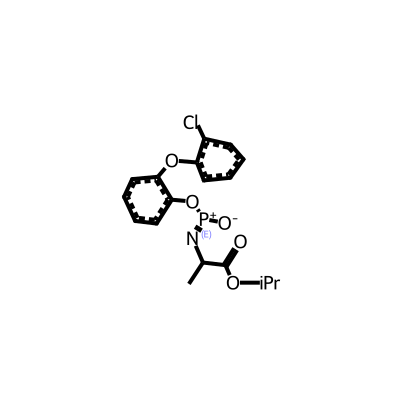 CC(C)OC(=O)C(C)/N=[P+](\[O-])Oc1ccccc1Oc1ccccc1Cl